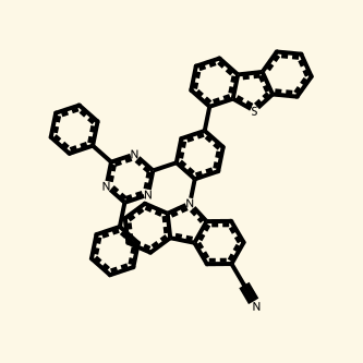 N#Cc1ccc2c(c1)c1ccccc1n2-c1ccc(-c2cccc3c2sc2ccccc23)cc1-c1nc(-c2ccccc2)nc(-c2ccccc2)n1